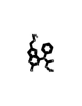 CC(C)(C)OC(=O)N(c1ccccc1)c1nc(Cl)nc2cc(CON)sc12